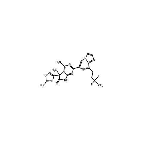 Cc1nc(C2(C)C(=O)Nc3nc(-c4cn5ccnc5c(CCC(F)(F)C(F)(F)F)n4)nc(N)c32)no1